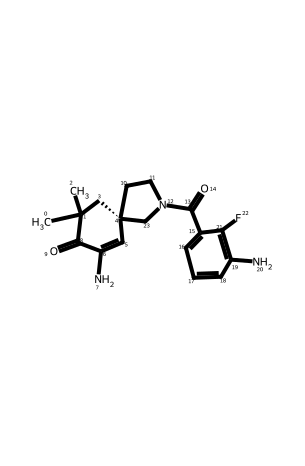 CC1(C)C[C@]2(C=C(N)C1=O)CCN(C(=O)c1cccc(N)c1F)C2